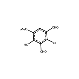 COc1cc(C=O)c(O)c(C=O)c1O